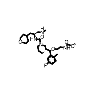 CNC[C@H](CC1CCOCC1)NC(=O)N1CCC[C@@H]([C@@H](OCCNC(=O)OC)c2cc(F)ccc2C)C1